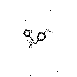 O=[N+]([O-])c1ccc(CS(=O)(=O)Oc2ccco2)cc1